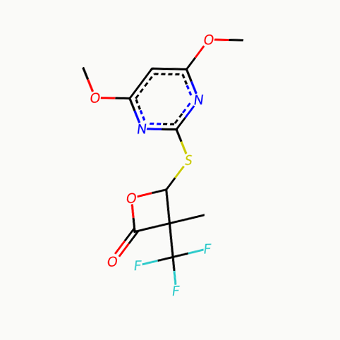 COc1cc(OC)nc(SC2OC(=O)C2(C)C(F)(F)F)n1